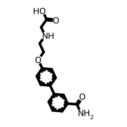 NC(=O)c1cccc(-c2ccc(OCCNCC(=O)O)cc2)c1